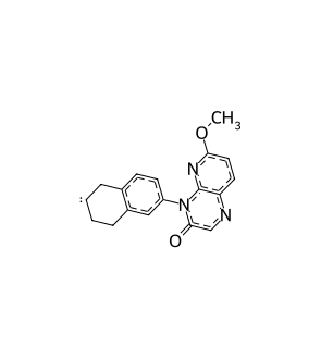 COc1ccc2ncc(=O)n(-c3ccc4c(c3)CC[C]C4)c2n1